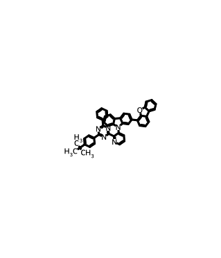 CC(C)(C)c1ccc(-c2nc(-c3ccccc3)nc(-c3ncccc3-n3c4ccccc4c4ccc(-c5cccc6c5oc5ccccc56)cc43)n2)cc1